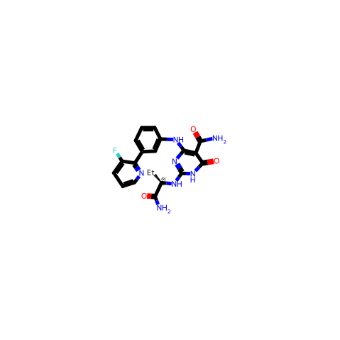 CC[C@@H](Nc1nc(Nc2cccc(-c3ncccc3F)c2)c(C(N)=O)c(=O)[nH]1)C(N)=O